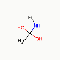 CCNC(C)(O)O